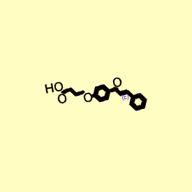 O=C(O)CCCOc1ccc(C(=O)/C=C/c2ccccc2)cc1